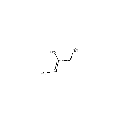 CCCCC(O)=CC(C)=O